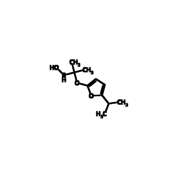 CC(C)c1ccc(OC(C)(C)BO)o1